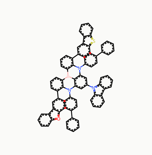 c1ccc(-c2ccc(N3c4cc(-n5c6ccccc6c6ccccc65)cc5c4B(c4cccc(-c6ccc7oc8ccccc8c7c6)c43)c3cccc(-c4ccc6sc7ccccc7c6c4)c3N5c3ccc(-c4ccccc4)cc3)cc2)cc1